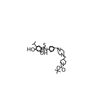 CC(C)c1cc(C(=S)Nc2ccc(CN3CCN(CC4CCN(C(=O)OC(C)(C)C)CC4)CC3)cc2)c(O)cc1O